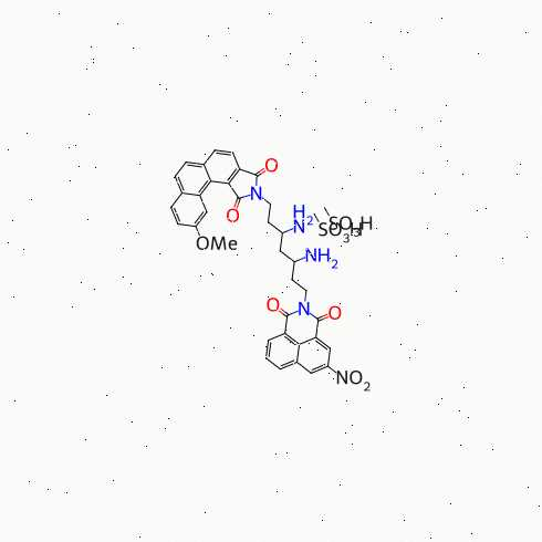 COc1ccc2ccc3ccc4c(c3c2c1)C(=O)N(CCC(N)CC(N)CCN1C(=O)c2cccc3cc([N+](=O)[O-])cc(c23)C1=O)C4=O.CS(=O)(=O)O.CS(=O)(=O)O